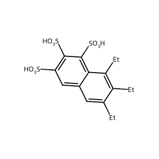 CCc1cc2cc(S(=O)(=O)O)c(S(=O)(=O)O)c(S(=O)(=O)O)c2c(CC)c1CC